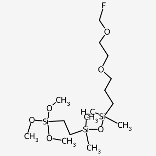 CO[Si](CC[Si](C)(C)O[Si](C)(C)CCCOCCOCF)(OC)OC